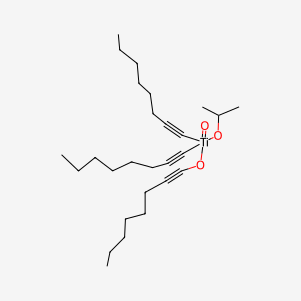 CCCCCCC#C[O][Ti](=[O])([C]#CCCCCCC)([C]#CCCCCCC)[O]C(C)C